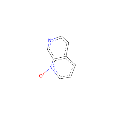 [O-][n+]1cccc2ccncc21